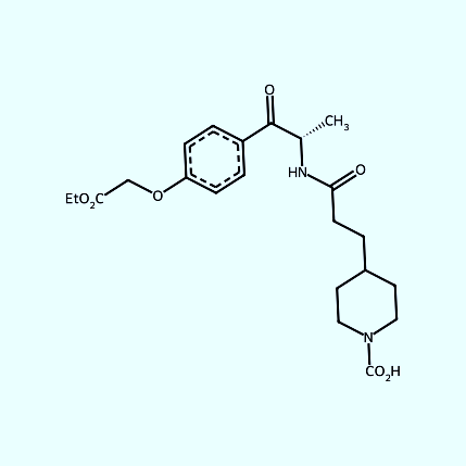 CCOC(=O)COc1ccc(C(=O)[C@H](C)NC(=O)CCC2CCN(C(=O)O)CC2)cc1